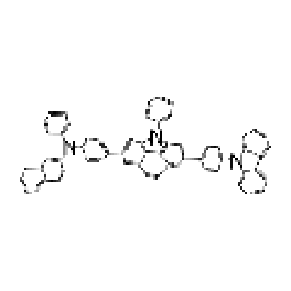 c1ccc(N(c2ccc(-c3cc4ccc5cc(-c6ccc(-n7c8ccccc8c8ccccc87)cc6)cc6c5c4c(c3)n6-c3ccccc3)cc2)c2ccc3ccccc3c2)cc1